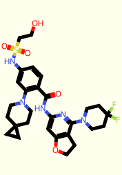 O=C(Nc1cc2c(c(N3CCC(F)(F)CC3)n1)CCO2)c1ccc(NS(=O)(=O)CCO)cc1N1CCC2(CC1)CC2